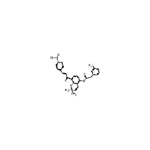 CCN(CC)c1ccc(C=CC(=O)c2ccc(OC(=O)Cc3cccc(C(F)(F)F)c3)c3c2OC(C)(C)C=C3)cc1